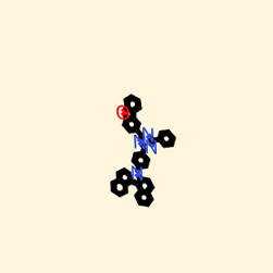 C1=Cc2ccc3c(c2CC1)c1c2ccccc2ccc1n3-c1ccc(-c2nc(-c3ccccc3)nc(-c3ccc4oc5ccccc5c4c3)n2)cc1